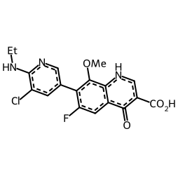 CCNc1ncc(-c2c(F)cc3c(=O)c(C(=O)O)c[nH]c3c2OC)cc1Cl